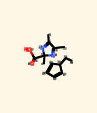 CC1=NC(C)(C(=O)O)N=C1C.CCC1C=CC=C1